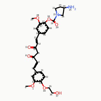 COc1cc(/C=C/C(=O)CC(=O)/C=C/c2ccc(OC(=O)N3CCC(N)C3)c(OC)c2)ccc1OCCO